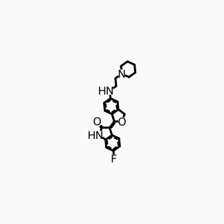 O=C1Nc2cc(F)ccc2/C1=C1\OCc2cc(NCCN3CCCCC3)ccc21